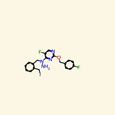 NN(Cc1ccccc1CI)c1nc(OCc2ccc(F)cc2)ncc1F